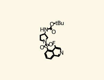 CC(C)(C)OC(=O)N[C@@H]1CCN(S(=O)(=O)c2cccc3cncc(F)c23)C1